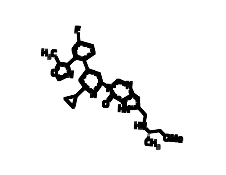 COC[C@H](C)NCc1cc2ncn(-c3cc(-c4ccc(F)cc4-c4ncoc4C)cc(C4CC4)n3)c(=O)c2[nH]1